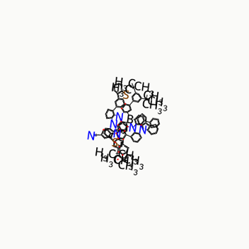 CC(C)(C)c1cc(-c2ccc3c(c2)B2c4ccc(-c5ccccc5)cc4N(c4c(-c5cccc6sc7cc(C(C)(C)C)ccc7c56)cccc4-n4c5ccccc5c5ccccc54)c4cc(-n5c6ccc(C#N)cc6c6cc(C(C)(C)C)ccc65)cc(c42)N3c2c(-c3ccc4sc5ccccc5c4c3)cccc2-n2c3ccccc3c3ccccc32)cc(C(C)(C)C)c1